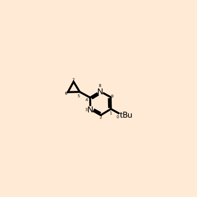 CC(C)(C)c1cnc(C2CC2)nc1